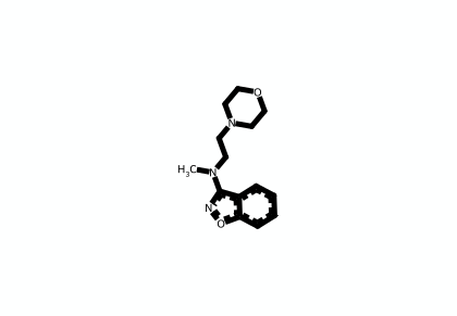 CN(CCN1CCOCC1)c1noc2c[c]ccc12